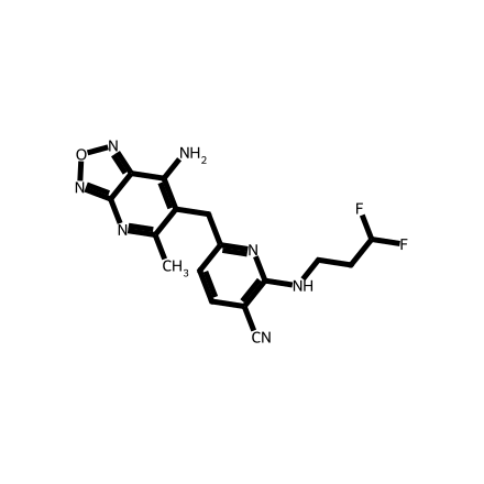 Cc1nc2nonc2c(N)c1Cc1ccc(C#N)c(NCCC(F)F)n1